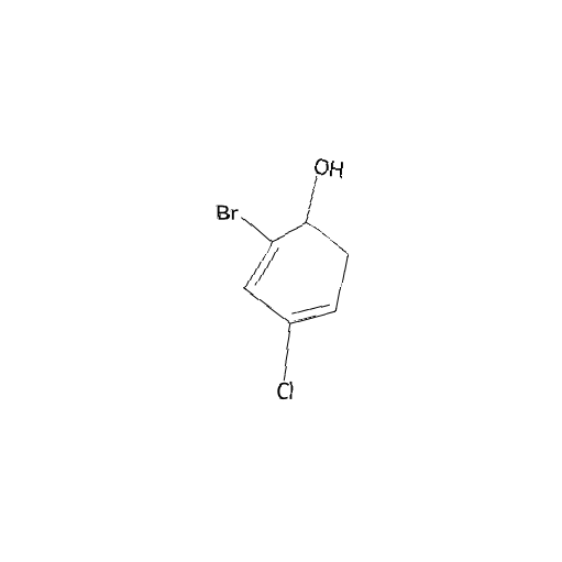 OC1CC=C(Cl)C=C1Br